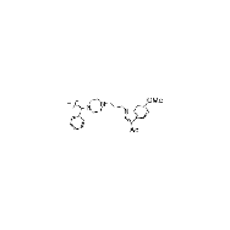 COc1ccc2c(C(C)=O)cn(CCCN3CCN(C(C)c4ccccc4)CC3)c2c1